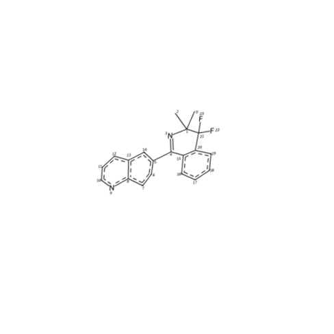 CC1(C)N=C(c2ccc3ncccc3c2)c2ccccc2C1(F)F